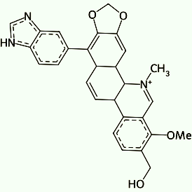 COc1c(CO)ccc2c1C=[N+](C)C1C2C=CC2C(c3ccc4[nH]cnc4c3)=C3OCOC3=CC21